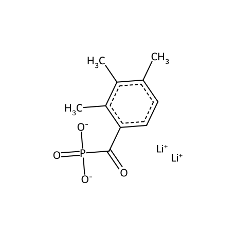 Cc1ccc(C(=O)P(=O)([O-])[O-])c(C)c1C.[Li+].[Li+]